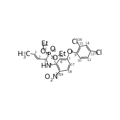 CC=CC(Nc1cc(Oc2ccc(Cl)cc2Cl)ccc1[N+](=O)[O-])P(=O)(OCC)OCC